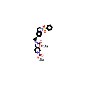 CC(C)(C)OC(=O)N1CCC(CN(C(=O)OC(C)(C)C)[C@@H]2C[C@H]2c2ccc3c(c2)CCN3S(=O)(=O)c2ccccc2)CC1